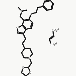 CN(C)Cc1c(OCCc2ccccc2)ccc2c(CCC3CCN(CC4OCCO4)CC3)noc12.O=C(O)C=CC(=O)O